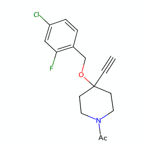 C#CC1(OCc2ccc(Cl)cc2F)CCN(C(C)=O)CC1